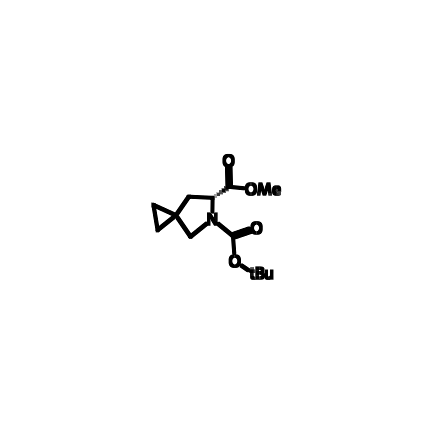 COC(=O)[C@H]1CC2(CC2)CN1C(=O)OC(C)(C)C